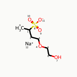 CC(CCOCCO)S(=O)(=O)[O-].[Na+]